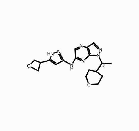 C[C@@H](C1CCOCC1)n1ncc2ncc(Nc3cc(C4COC4)[nH]n3)nc21